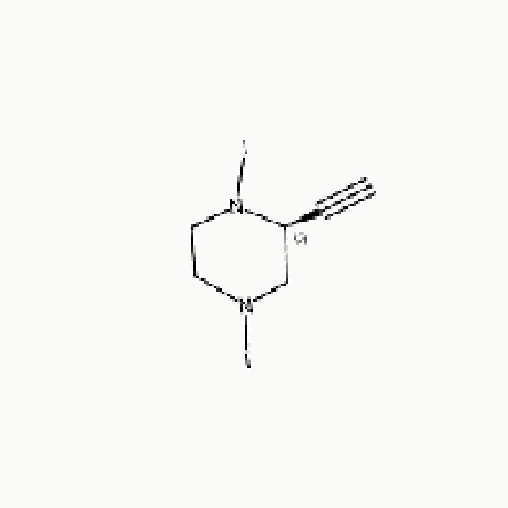 C#C[C@H]1CN(I)CCN1I